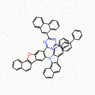 c1ccc(-c2cccc(-c3nc(-c4cc5oc6c7ccccc7ccc6c5cc4-n4c5cc6ccccc6cc5c5ccc6ccccc6c54)nc(-c4cc5ccccc5c5ccccc45)n3)c2)cc1